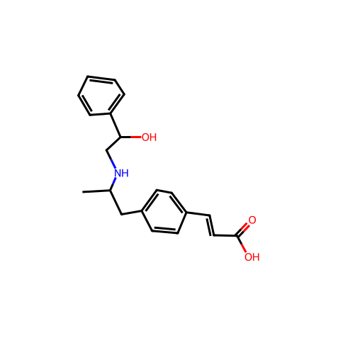 CC(Cc1ccc(C=CC(=O)O)cc1)NCC(O)c1ccccc1